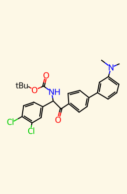 CN(C)c1cccc(-c2ccc(C(=O)C(NC(=O)OC(C)(C)C)c3ccc(Cl)c(Cl)c3)cc2)c1